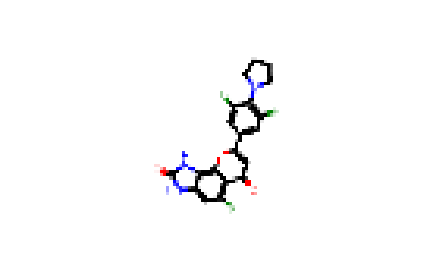 O=c1[nH]c2cc(F)c3c(=O)cc(-c4cc(F)c(N5CCCC5)c(F)c4)oc3c2[nH]1